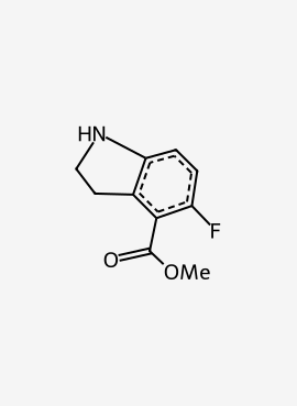 COC(=O)c1c(F)ccc2c1CCN2